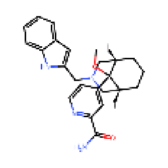 COC1(c2ccnc(C(N)=O)c2)[C@@H]2CCC[C@H]1CN(Cc1cc3ccccc3[nH]1)C2